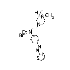 CCN(CCN1CC[N+](C)(C)CC1)c1ccc(/N=N/c2nccs2)cc1.[Br-]